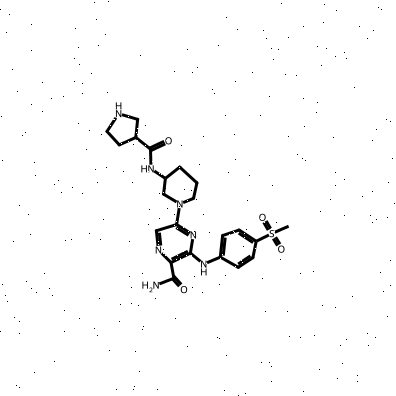 CS(=O)(=O)c1ccc(Nc2nc(N3CCCC(NC(=O)C4CCNC4)C3)cnc2C(N)=O)cc1